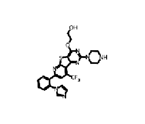 OCCOc1nc(N2CCNCC2)nc2c1sc1nc(-c3ccccc3-n3ccnc3)cc(C(F)(F)F)c12